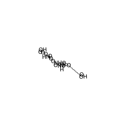 O=C(O)CCCCCCCCCCCCCOc1ccc(S(=O)(=O)CNc2ccc(C(=O)NCCOCCOCC(=O)NCCOCCOCC(=O)O)cn2)cc1